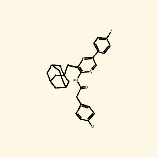 O=C(Cc1ccc(Cl)cc1)Nc1ncc(-c2ccc(F)cc2)nc1CC12CC3CC(CC(C3)C1)C2